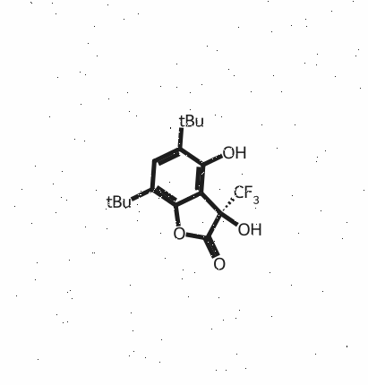 CC(C)(C)c1cc(C(C)(C)C)c2c(c1O)[C@](O)(C(F)(F)F)C(=O)O2